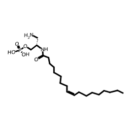 CCCCCCCC/C=C\CCCCCCCC(=O)N[C@@H](CN)COP(=O)(O)O